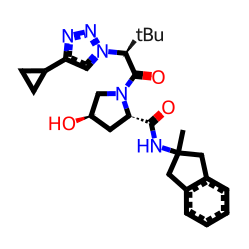 CC1(NC(=O)[C@@H]2C[C@@H](O)CN2C(=O)[C@@H](n2cc(C3CC3)nn2)C(C)(C)C)Cc2ccccc2C1